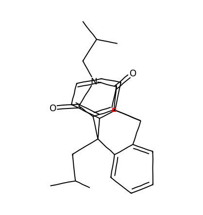 CC(C)CN1C(=O)C2=C(C1=O)C1(CC(C)C)c3ccccc3C2c2ccccc21